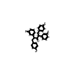 O=C(C(Cc1ccc(F)cc1)c1cccc(F)c1)C(Cc1ccc(F)cc1)c1cccc(F)c1